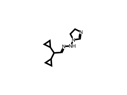 C1=NCCN1NN=CC(C1CC1)C1CC1